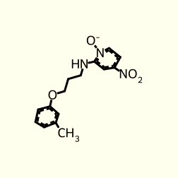 Cc1cccc(OCCCNc2cc([N+](=O)[O-])cc[n+]2[O-])c1